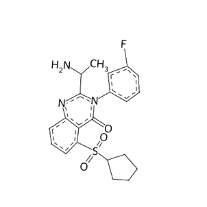 CC(N)c1nc2cccc(S(=O)(=O)C3CCCC3)c2c(=O)n1-c1cccc(F)c1